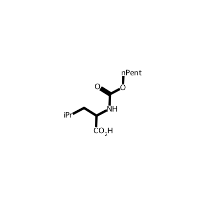 CCCCCOC(=O)NC(CC(C)C)C(=O)O